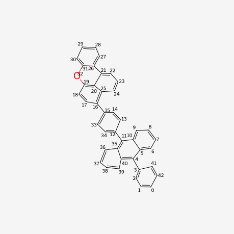 c1ccc(-c2c3ccccc3c(-c3ccc(-c4ccc5c6c(cccc46)-c4ccccc4O5)cc3)c3ccccc23)cc1